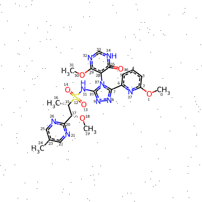 COc1cccc(-c2nnc(NS(=O)(=O)[C@@H](C)[C@H](OC)c3ncc(C)cn3)n2-c2c(OC)nc[nH]c2=O)n1